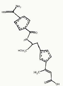 C/C(=C\C(=O)O)c1ccc(CC(C)NC(=O)c2ccc(C(=N)N)cc2)s1.Cl